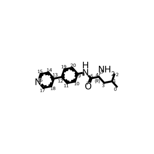 CC(C)C[C@@H](N)C(=O)Nc1ccc(-c2ccncc2)cc1